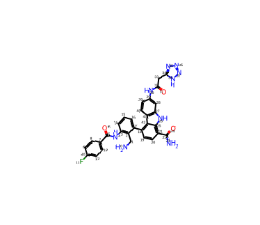 NCc1c(NC(=O)c2ccc(F)cc2)cccc1-c1ccc(C(N)=O)c2[nH]c3cc(NC(=O)Cc4nnn[nH]4)ccc3c12